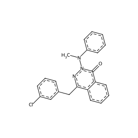 CN(c1ccccc1)n1nc(Cc2cccc(Cl)c2)c2ccccc2c1=O